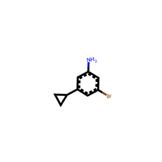 Nc1cc(Br)cc(C2CC2)c1